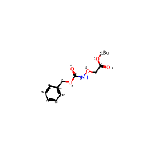 CC(C)(C)OC(=O)CONC(=O)OCc1ccccc1